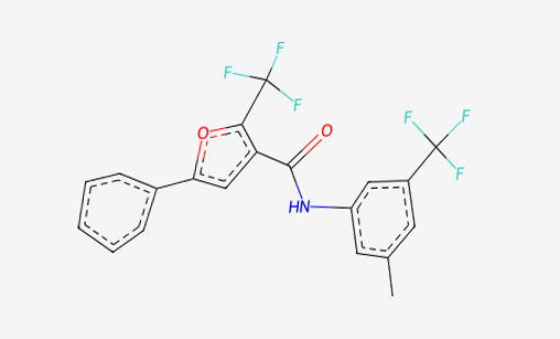 Cc1cc(NC(=O)c2cc(-c3ccccc3)oc2C(F)(F)F)cc(C(F)(F)F)c1